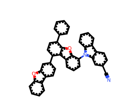 N#Cc1ccc2c3ccccc3n(-c3cccc4c3oc3c(-c5ccccc5)ccc(-c5ccc6c(c5)oc5ccccc56)c34)c2c1